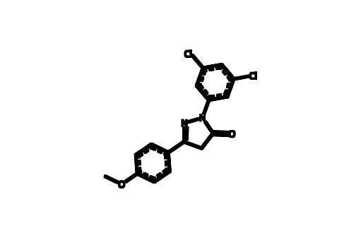 COc1ccc(C2=NN(c3cc(Cl)cc(Cl)c3)C(=O)C2)cc1